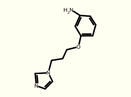 Nc1cccc(OCCCn2ccnc2)c1